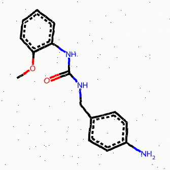 COc1ccccc1NC(=O)NCc1ccc(N)cc1